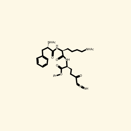 CC(=O)NCCCC[C@H](NC(=O)[C@H](Cc1ccccc1)NC(C)=O)C(=O)N[C@@H](CCC(=O)C=[N+]=N)C(=O)OC(C)C